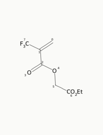 C=C(C(=O)OCC(=O)OCC)C(F)(F)F